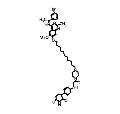 COc1cc2c(N[C@H](C)c3cccc(Br)c3)nc(C)nc2cc1OCCCCCCCCCCCN1CCN(C(=O)CNc2ccc(C3CCC(=O)NC3=O)cc2)CC1